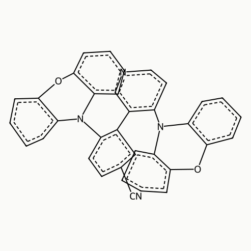 N#Cc1ccc(N2c3ccccc3Oc3ccccc32)c(-c2cnccc2N2c3ccccc3Oc3ccccc32)c1